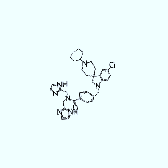 O=C(c1ccc(CN2CC3(CCN(C4CCCCC4)CC3)c3cc(Cl)ccc32)cc1)N(Cc1ncc[nH]1)Cc1ncc[nH]1